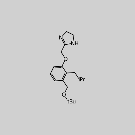 CC(C)Cc1c(COC(C)(C)C)cccc1OCC1=NCCN1